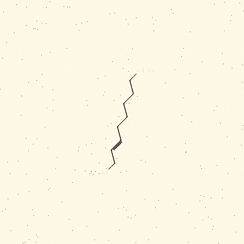 COC/C=C/CCCCCC=O